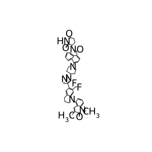 Cc1cc2c(N3CCCc4cc(-c5cnn(C6CCN(c7ccc8c9c(cccc79)N(C7CCC(=O)NC7=O)C8=O)CC6)c5)c(C(F)F)cc43)cccc2n(C)c1=O